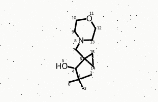 CC(C)(C)C(O)C1(CN2CCOCC2)CC1